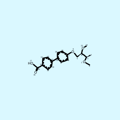 CO[C@H](C)[C@@H](COc1ccc(-c2ccc(C(=O)O)cc2)cc1)OC